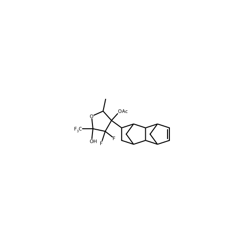 CC(=O)OC1(C2CC3CC2C2C4C=CC(C4)C32)C(C)OC(O)(C(F)(F)F)C1(F)F